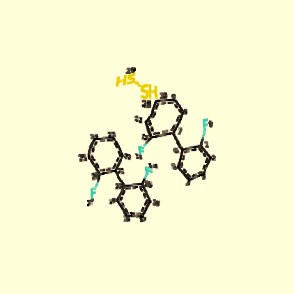 Fc1ccccc1-c1ccccc1F.Fc1ccccc1-c1ccccc1F.SS